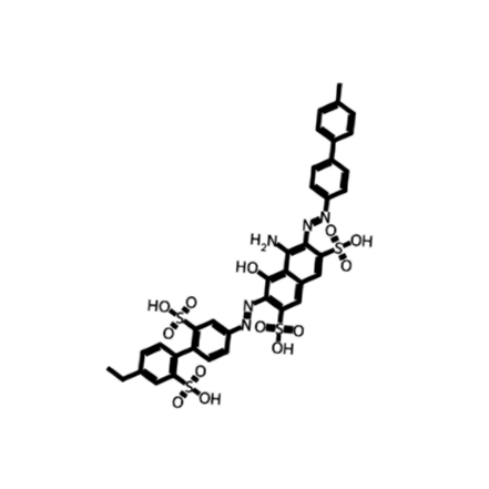 CCc1ccc(-c2ccc(/N=N/c3c(S(=O)(=O)O)cc4cc(S(=O)(=O)O)c(/N=N/c5ccc(-c6ccc(C)cc6)cc5)c(N)c4c3O)cc2S(=O)(=O)O)c(S(=O)(=O)O)c1